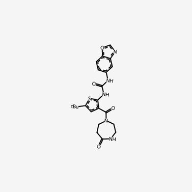 CC(C)(C)c1cc(C(=O)N2CCNC(=O)CC2)c(NC(=O)Nc2ccc3ocnc3c2)s1